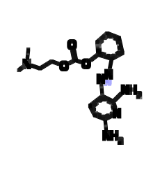 CN(C)CCOC(=O)Oc1ccccc1/N=N/c1ccc(N)nc1N